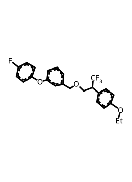 CCOc1ccc(C(COCc2cccc(Oc3ccc(F)cc3)c2)C(F)(F)F)cc1